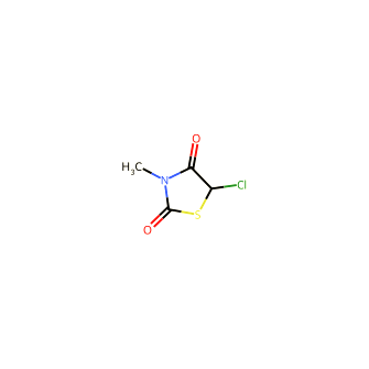 CN1C(=O)SC(Cl)C1=O